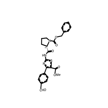 COC(=O)c1sc(NC(=O)[C@@H]2CCCN2C(=O)OCc2ccccc2)nc1-c1ccc(C=O)cc1